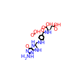 Nc1nc(=O)c2c([nH]1)NCC(CNc1ccc(C(=O)N[C@@H](CCC(=O)O)C(=O)O)cc1)N2.O=CO